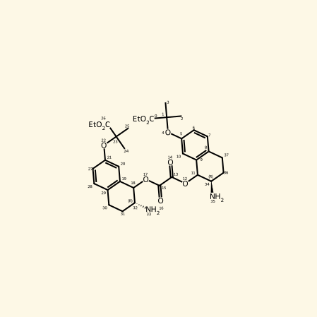 CCOC(=O)C(C)(C)Oc1ccc2c(c1)C(OC(=O)C(=O)OC1c3cc(OC(C)(C)C(=O)OCC)ccc3CC[C@H]1N)[C@H](N)CC2